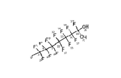 CC(F)(F)C(F)(F)C(F)(F)C(F)(F)C(F)(F)C(F)(F)C(O)(O)F